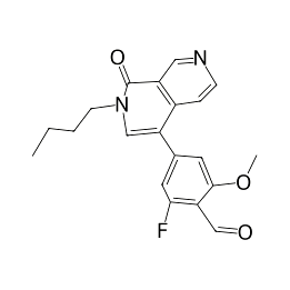 CCCCn1cc(-c2cc(F)c(C=O)c(OC)c2)c2ccncc2c1=O